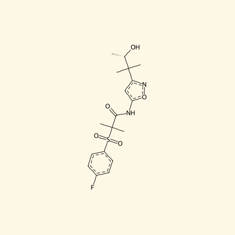 C[C@H](O)C(C)(C)c1cc(NC(=O)C(C)(C)S(=O)(=O)c2ccc(F)cc2)on1